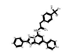 O=C(Cc1ccc(C(F)(F)F)cc1)Nc1cc(-c2ccncc2)cc2nc(-c3ccccc3)nn12